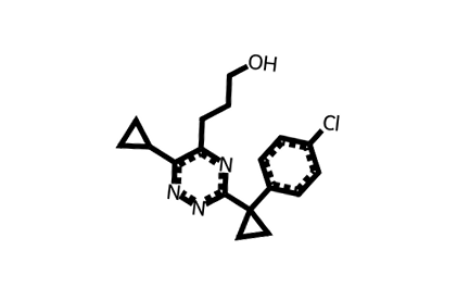 OCCCc1nc(C2(c3ccc(Cl)cc3)CC2)nnc1C1CC1